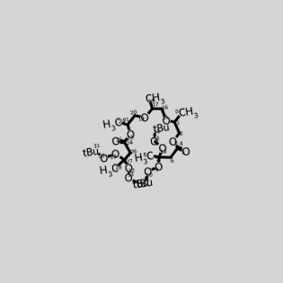 CC(COC(=O)CC(C)(OOC(C)(C)C)OOC(C)(C)C)OCC(C)OCC(C)OC(=O)CC(C)(OOC(C)(C)C)OOC(C)(C)C